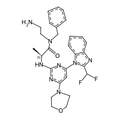 C[C@H](Nc1nc(N2CCOCC2)cc(-n2c(C(F)F)nc3ccccc32)n1)C(=O)N(CCN)Cc1ccccc1